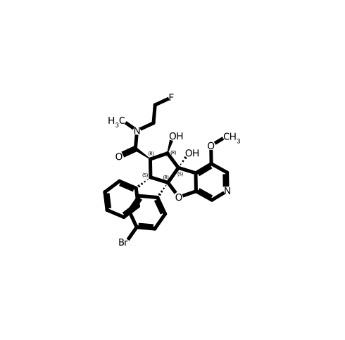 COc1cncc2c1[C@]1(O)[C@H](O)[C@H](C(=O)N(C)CCF)[C@@H](c3ccccc3)[C@]1(c1ccc(Br)cc1)O2